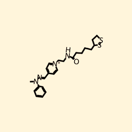 CN(/N=C/c1cc[n+](CCNC(=O)CCCCC2CCSS2)cc1)c1ccccc1